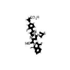 C[C@@H]1c2ccccc2C(F)CN1C(O)c1cc(N2CC(F)C2)n2nc(-c3ccc([C@H]4C[C@@H]4C(=O)O)cc3F)cc2n1